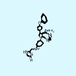 Nc1ncnc2c1c(-c1ccc(Oc3ccccc3)cc1)cn2C1CCC(NCC2=NNCN2)CC1